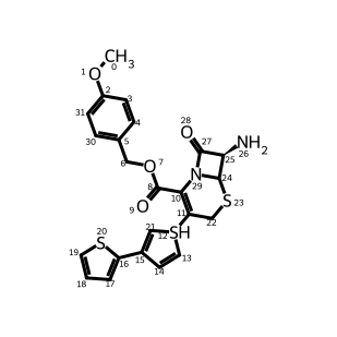 COc1ccc(COC(=O)C2=C([SH]3C=CC(c4cccs4)=C3)CSC3[C@H](N)C(=O)N23)cc1